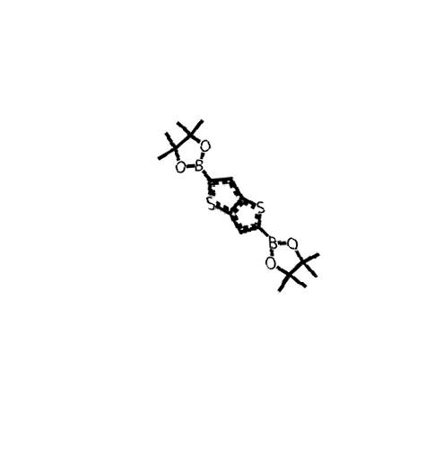 CC1(C)OB(c2cc3sc(B4OC(C)(C)C(C)(C)O4)cc3s2)OC1(C)C